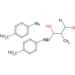 CC(C)(C)c1ccc(C(=O)O)cc1.CC(C)(C)c1ccc(C(=O)O)cc1.CCC(O)C(C)C(O)CC